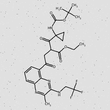 CCOC(=O)C(CC(=O)c1cccc2nc(C)c(NCC(F)(F)F)nc12)C(=O)C1(NC(=O)OC(C)(C)C)CC1